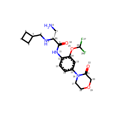 NC[C@@H](NCC1CCC1)C(=O)Nc1ccc(N2CCOCC2=O)cc1OC(F)F